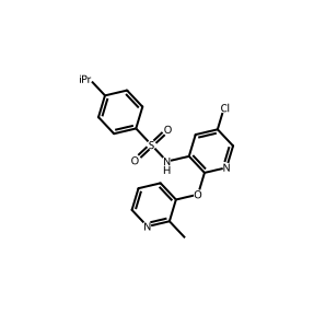 Cc1ncccc1Oc1ncc(Cl)cc1NS(=O)(=O)c1ccc(C(C)C)cc1